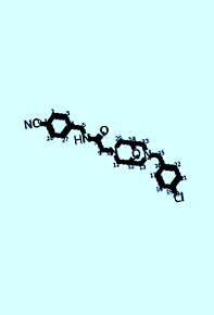 N#Cc1ccc(CNC(=O)CN2CC3CN(Cc4ccc(Cl)cc4)CC(C2)O3)cc1